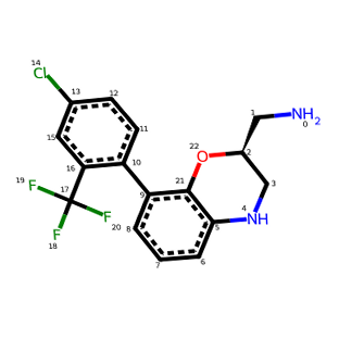 NC[C@H]1CNc2cccc(-c3ccc(Cl)cc3C(F)(F)F)c2O1